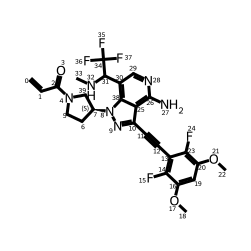 C=CC(=O)N1CC[C@H](n2nc(C#Cc3c(F)c(OC)cc(OC)c3F)c3c(N)ncc(C(NC)C(F)(F)F)c32)C1